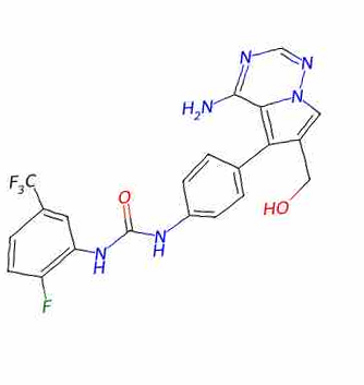 Nc1ncnn2cc(CO)c(-c3ccc(NC(=O)Nc4cc(C(F)(F)F)ccc4F)cc3)c12